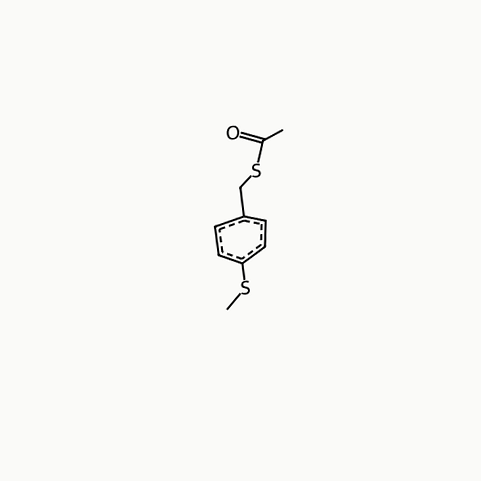 CSc1ccc(CSC(C)=O)cc1